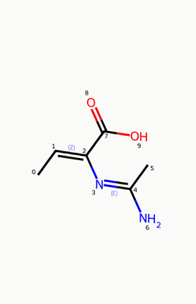 C/C=C(\N=C(/C)N)C(=O)O